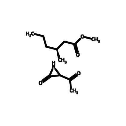 CC(=O)C1NC1=O.CCC[C@H](C)CC(=O)OC